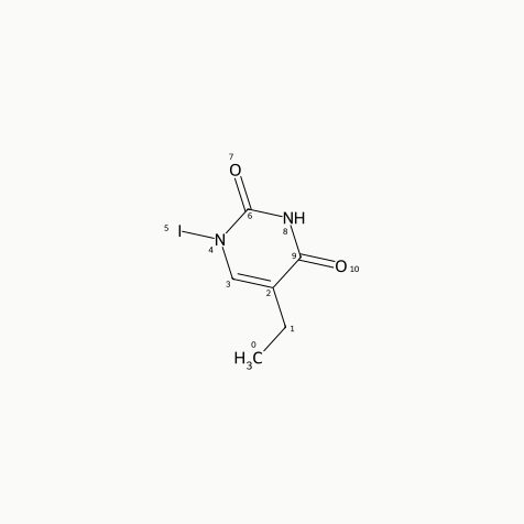 CCc1cn(I)c(=O)[nH]c1=O